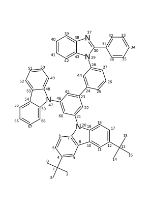 CC(C)(C)c1ccc2c(c1)c1cc(C(C)(C)C)ccc1n2-c1cc(-c2cccc(-n3c(-c4ccccc4)nc4ccccc43)c2)cc(-n2c3ccccc3c3ccccc32)c1